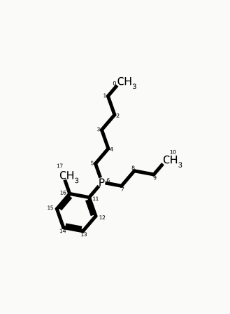 CCCCCCP(CCCC)c1ccccc1C